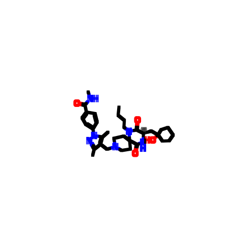 CCCCN1C(=O)[C@@H](CC2(O)CCCCC2)NC(=O)C12CCN(Cc1c(C)nn(-c3ccc(C(=O)NC)cc3)c1C)CC2